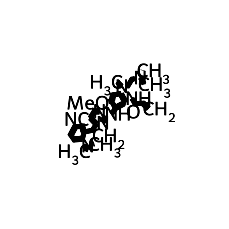 C=CC(=O)Nc1cc(Nc2ncc(C#N)c(C(=C)c3ccccc3N(C)C)n2)c(OC)cc1N(C)CCN(C)C